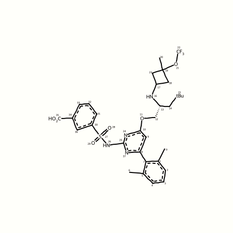 Cc1cccc(C)c1-c1cc(OC[C@@H](CC(C)(C)C)NC2CC(C)(OC(F)(F)F)C2)nc(NS(=O)(=O)c2cccc(C(=O)O)c2)n1